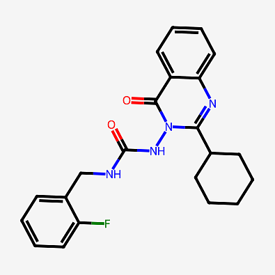 O=C(NCc1ccccc1F)Nn1c(C2CCCCC2)nc2ccccc2c1=O